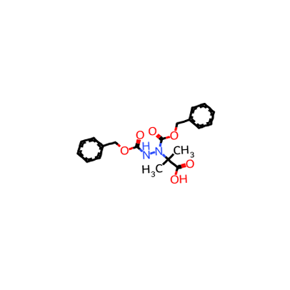 CC(C)(C(=O)O)N(NC(=O)OCc1ccccc1)C(=O)OCc1ccccc1